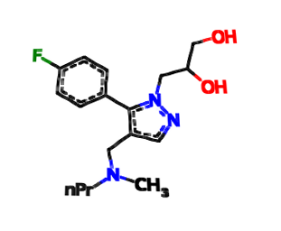 CCCN(C)Cc1cnn(CC(O)CO)c1-c1ccc(F)cc1